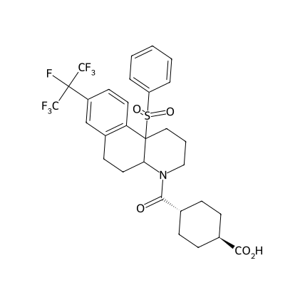 O=C(O)[C@H]1CC[C@H](C(=O)N2CCCC3(S(=O)(=O)c4ccccc4)c4ccc(C(F)(C(F)(F)F)C(F)(F)F)cc4CCC23)CC1